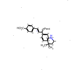 CCCCCC(/C=C/c1ccc(C(=O)O)cc1)c1ccc2c(c1)NCCC2(C)C